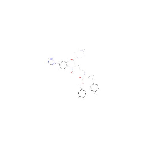 CN1CCN(C(=O)[C@@H](CCCN(C(=O)OCc2ccccc2)[C@@H]2C[C@H]2c2ccc(F)cc2)N(C=O)c2ccc(-n3ccnn3)cc2)CC1